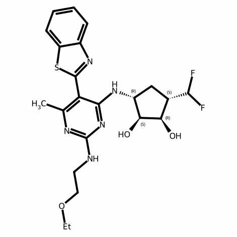 CCOCCNc1nc(C)c(-c2nc3ccccc3s2)c(N[C@@H]2C[C@H](C(F)F)[C@@H](O)[C@H]2O)n1